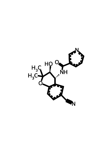 CC1(C)Oc2ccc(C#N)cc2[C@@H](NC(=O)c2cccnc2)[C@@H]1O